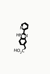 O=C(O)Cc1ccc2[nH]c(-c3ccccn3)nc2c1